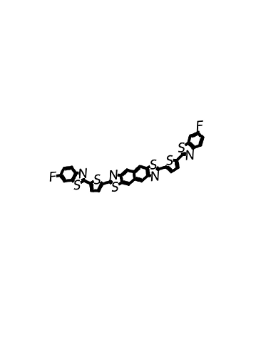 Fc1ccc2nc(-c3ccc(-c4nc5cc6cc7sc(-c8ccc(-c9nc%10ccc(F)cc%10s9)s8)nc7cc6cc5s4)s3)sc2c1